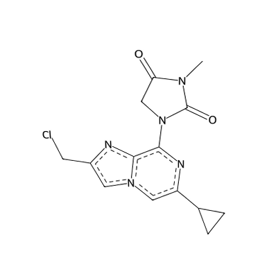 CN1C(=O)CN(c2nc(C3CC3)cn3cc(CCl)nc23)C1=O